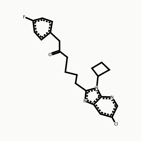 O=C(CCCCc1nc2cc(Cl)cnc2n1C1CCC1)Cc1ccc(F)cc1